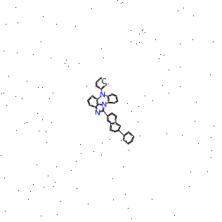 c1ccc(-c2ccc3cc(-c4nc5cccc6c5n4-c4ccccc4N6c4ccccc4)ccc3c2)cc1